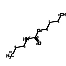 CCCCOC(=O)NCCC